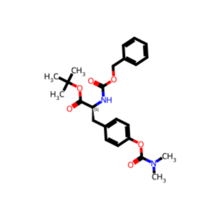 CN(C)C(=O)Oc1ccc(C[C@H](NC(=O)OCc2ccccc2)C(=O)OC(C)(C)C)cc1